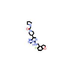 O=C(CN1CCCC1)N1CCC(c2cnc(NCc3c(F)ccc4c3CCO4)n3cnnc23)CC1